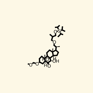 COCOC1CC[C@]2(C)C3CC[C@]4(C)C([C@H](C)COCC(C)CO[Si](C(C)C)(C(C)C)C(C)C)CC[C@H]4[C@@]3(O)[C@H](O)C(=O)[C@H]2C1